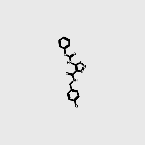 O=C(Nc1snnc1C(=O)NCc1ccc(Cl)cc1)Oc1ccccc1